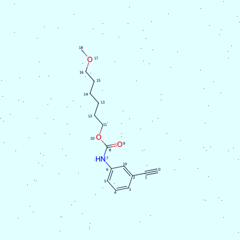 C#Cc1cccc(NC(=O)OCCCCCCOC)c1